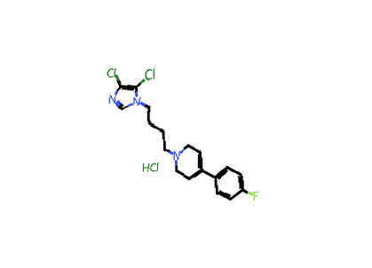 Cl.Fc1ccc(C2=CCN(CCCCn3cnc(Cl)c3Cl)CC2)cc1